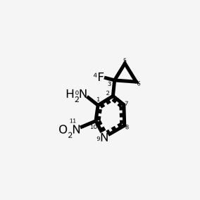 Nc1c(C2(F)CC2)ccnc1[N+](=O)[O-]